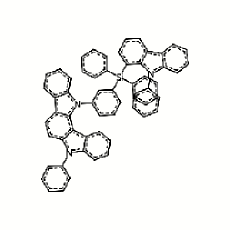 c1ccc(-n2c3ccccc3c3c2ccc2c4ccccc4n(-c4cccc([Si](c5ccccc5)(c5ccccc5)c5cccc6c7ccccc7n(-c7ccccc7)c56)c4)c23)cc1